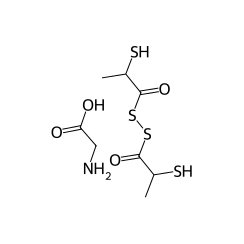 CC(S)C(=O)SSC(=O)C(C)S.NCC(=O)O